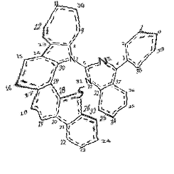 c1ccc(-c2nc(-n3c4ccccc4c4ccc5ccc6c7ccccc7sc6c5c43)nc3ccccc23)cc1